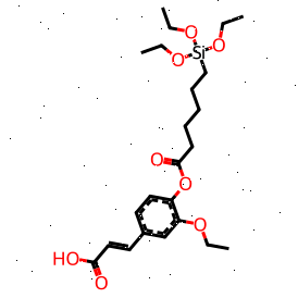 CCOc1cc(C=CC(=O)O)ccc1OC(=O)CCCCC[Si](OCC)(OCC)OCC